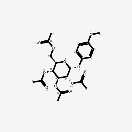 COc1ccc(O[C@H]2O[C@H](COC(C)=O)[C@@H](OC(C)=O)[C@H](OC(C)=O)[C@H]2OC(C)=O)cc1